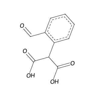 O=Cc1ccccc1C(C(=O)O)C(=O)O